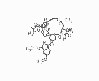 CCOc1cnc(O[C@@H]2C[C@H]3C(=O)N[C@]4(C(=O)NS(=O)(=O)C5(C)CC5)C[C@H]4C=CCC[C@@H](C)C[C@@H](C)[C@H](NC(=O)O)C(=O)N3C2)c2ccc(OC)cc12